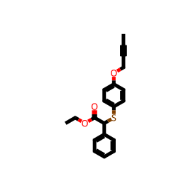 CC#CCOc1ccc(SC(C(=O)OCC)c2ccccc2)cc1